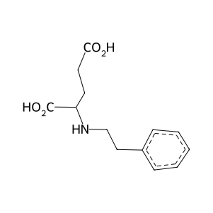 O=C(O)CCC(NCCc1ccccc1)C(=O)O